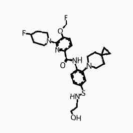 O=C(Nc1ccc(SNCCO)cc1N1CCC2(CC1)CC2)c1ccc(OCF)c(N2CCC(F)CC2)n1